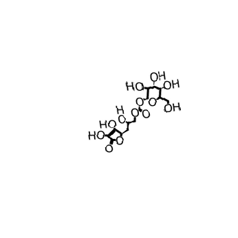 O=C(OC[C@H](O)C[C@H]1OC(=O)C(O)=C1O)O[C@@H]1OC(CO)[C@@H](O)[C@@H](O)C1O